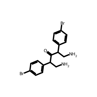 NCC(C(=O)C(CN)c1ccc(Br)cc1)c1ccc(Br)cc1